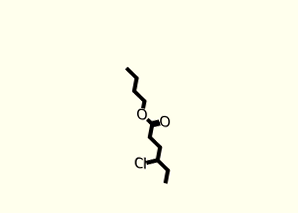 CCCCOC(=O)CCC(Cl)CC